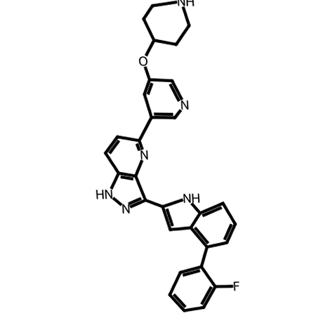 Fc1ccccc1-c1cccc2[nH]c(-c3n[nH]c4ccc(-c5cncc(OC6CCNCC6)c5)nc34)cc12